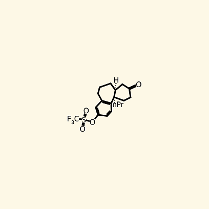 CCC[C@@]12CCC(=O)C[C@@H]1CCCc1cc(OS(=O)(=O)C(F)(F)F)ccc12